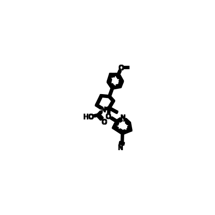 COc1ccc(C2CCN(C(=O)O)C(C)(Oc3cc(C#N)ccn3)C2)cc1